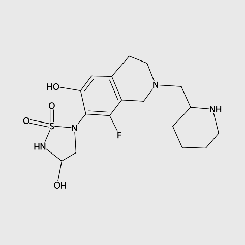 O=S1(=O)NC(O)CN1c1c(O)cc2c(c1F)CN(CC1CCCCN1)CC2